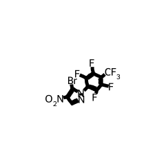 O=[N+]([O-])c1cnn(-c2c(F)c(F)c(C(F)(F)F)c(F)c2F)c1Br